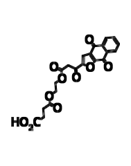 O=C(O)CCC(=O)OCCOC(=O)CC(=O)c1cc2c(o1)C(=O)c1ccccc1C2=O